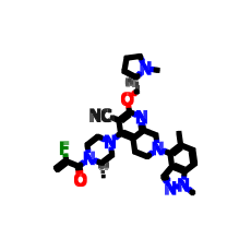 C=C(F)C(=O)N1CCN(c2c(C#N)c(OC[C@@H]3CCCN3C)nc3c2CCN(c2c(C)ccc4c2cnn4C)C3)C[C@@H]1C